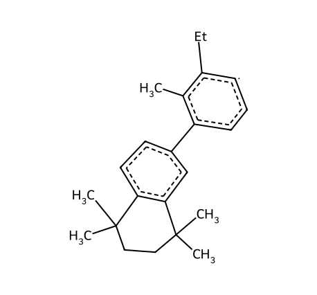 CCc1[c]ccc(-c2ccc3c(c2)C(C)(C)CCC3(C)C)c1C